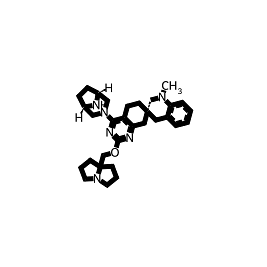 CN1C[C@]2(CCc3c(nc(OCC45CCCN4CCC5)nc3N3C[C@H]4CC[C@@H](C3)N4)C2)Cc2ccccc21